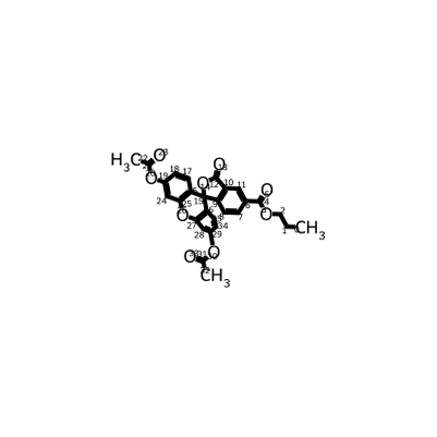 CCCOC(=O)c1ccc2c(c1)C(=O)OC21c2ccc(OC(C)=O)cc2Oc2cc(OC(C)=O)ccc21